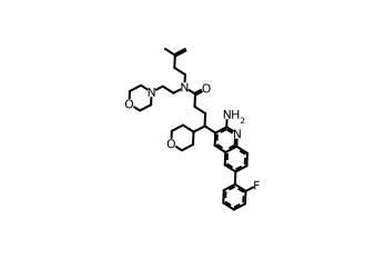 C=C(C)CCN(CCN1CCOCC1)C(=O)CCC(c1cc2cc(-c3ccccc3F)ccc2nc1N)C1CCOCC1